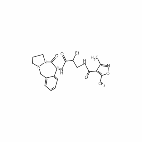 CCC(CNC(=O)c1c(C)noc1C(F)(F)F)C(=O)N[C@@H]1C(=O)N2CCCN2Cc2ccccc21